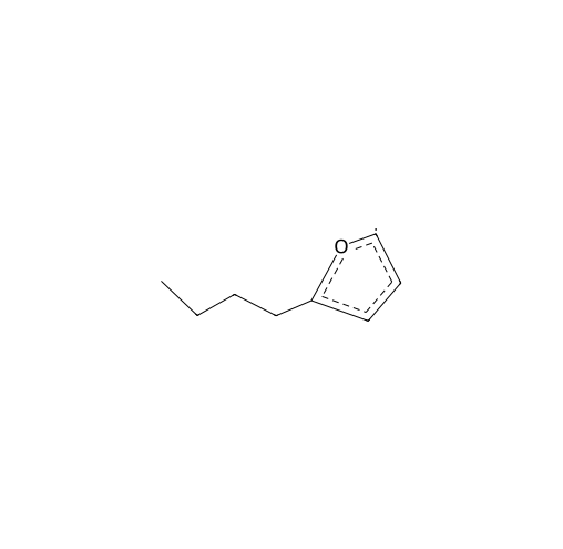 CCCCc1cc[c]o1